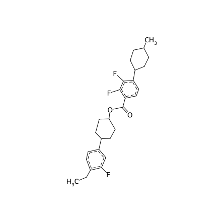 CCc1ccc(C2CCC(OC(=O)c3ccc(C4CCC(C)CC4)c(F)c3F)CC2)cc1F